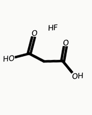 F.O=C(O)CC(=O)O